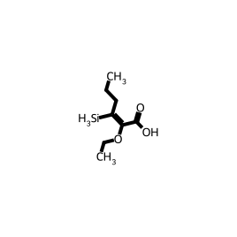 CCC/C([SiH3])=C(/OCC)C(=O)O